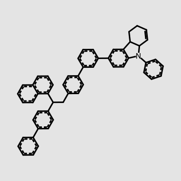 C1=CC2C(CC1)c1cc(-c3cccc(-c4ccc(CC(c5ccc(-c6ccccc6)cc5)c5cccc6ccccc56)cc4)c3)ccc1N2c1ccccc1